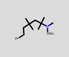 CNN(C)C(C)(C)CC(C)(C)CCC(C)C